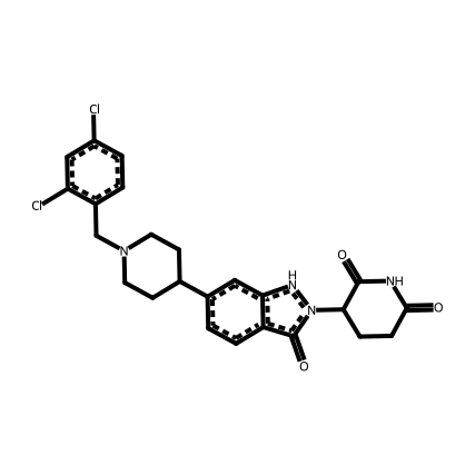 O=C1CCC(n2[nH]c3cc(C4CCN(Cc5ccc(Cl)cc5Cl)CC4)ccc3c2=O)C(=O)N1